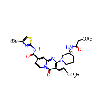 CC(=O)OCC(=O)N[C@H]1CCCN(c2nc3cc(C(=O)Nc4nc(C(C)(C)C)cs4)ccn3c(=O)c2/C=C/C(=O)O)C1